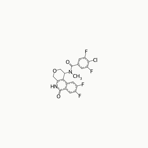 CN(C(=O)c1cc(F)c(Cl)c(F)c1)C1COCc2[nH]c(=O)c3cc(F)c(F)cc3c21